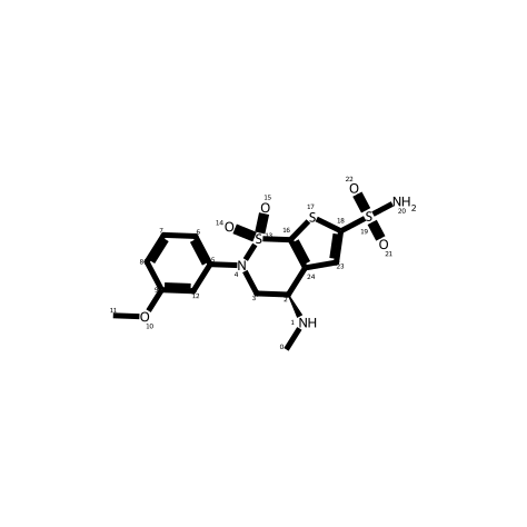 CN[C@H]1CN(c2cccc(OC)c2)S(=O)(=O)c2sc(S(N)(=O)=O)cc21